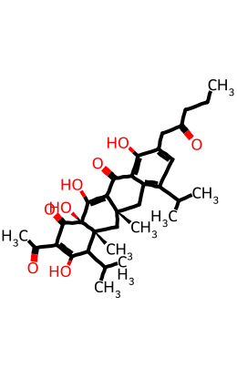 CCCC(=O)Cc1cc(C(C)C)c2c(c1O)C(=O)C1=C(O)[C@@]3(O)C(=O)C(C(C)=O)=C(O)C(C(C)C)[C@@]3(C)C[C@@]1(C)C2